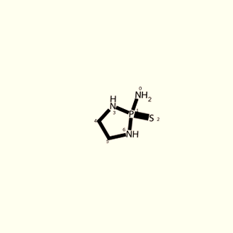 NP1(=S)NCCN1